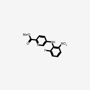 COC(=O)c1ccc(Nc2c(F)cccc2[N+](=O)[O-])cn1